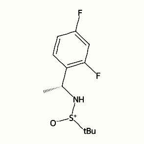 C[C@@H](N[S+]([O-])C(C)(C)C)c1ccc(F)cc1F